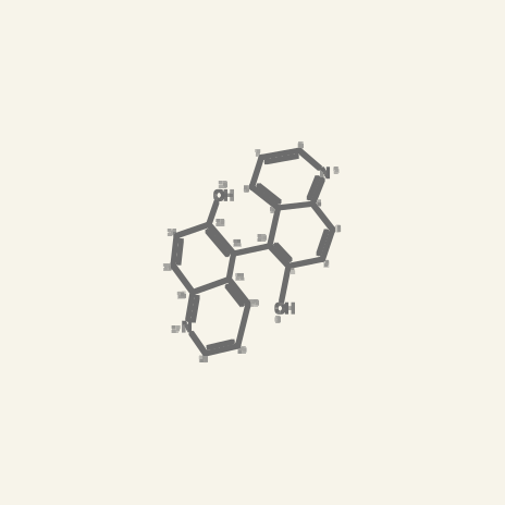 Oc1ccc2ncccc2c1-c1c(O)ccc2ncccc12